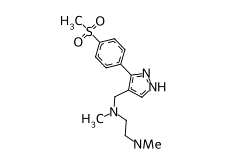 CNCCN(C)Cc1c[nH]nc1-c1ccc(S(C)(=O)=O)cc1